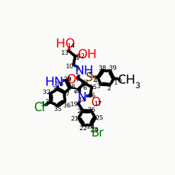 Cc1ccc(S[C@@]2(C(=O)NCC(O)CO)CC(=O)N(Cc3ccc(Br)cc3)[C@H]2c2c[nH]c3cc(Cl)ccc23)cc1